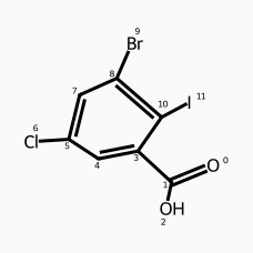 O=C(O)c1cc(Cl)cc(Br)c1I